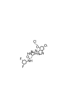 COc1cc(OCCCl)c2c(Nc3cc(CC(=O)Nc4cc(F)cc(F)c4)[nH]n3)ncnc2c1